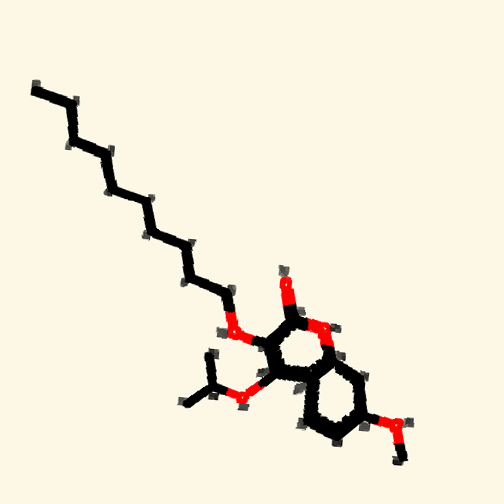 CCCCCCCCCCOc1c(OC(C)C)c2ccc(OC)cc2oc1=O